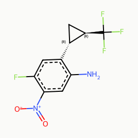 Nc1cc([N+](=O)[O-])c(F)cc1[C@@H]1C[C@H]1C(F)(F)F